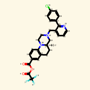 O=C(OC(=O)C(F)(F)F)c1ccc2c(c1)CC[C@@H]1CN(Cc3cccnc3-c3ccc(Cl)cc3)CCN21